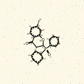 O=C1CC(P(=O)(c2ccccc2)c2ccccc2)Oc2cc(F)ccc21